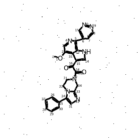 COc1cnc(-c2ccnnc2)c2[nH]cc(C(=O)C(=O)N3CCn4c(-c5ccccc5)cnc4C3)c12